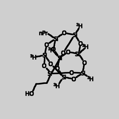 [3H][Si]12O[Si]3([3H])O[Si]4([3H])O[Si]([3H])(O1)O[Si]1(CCO)O[Si]([3H])(O2)O[Si](CCC)(O3)O[Si]([3H])(O4)O1